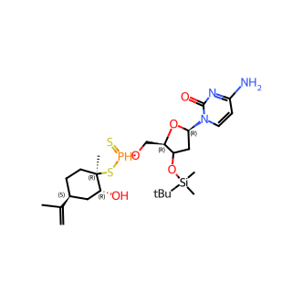 C=C(C)[C@H]1CC[C@@](C)(S[PH](=S)OC[C@H]2O[C@@H](n3ccc(N)nc3=O)CC2O[Si](C)(C)C(C)(C)C)[C@H](O)C1